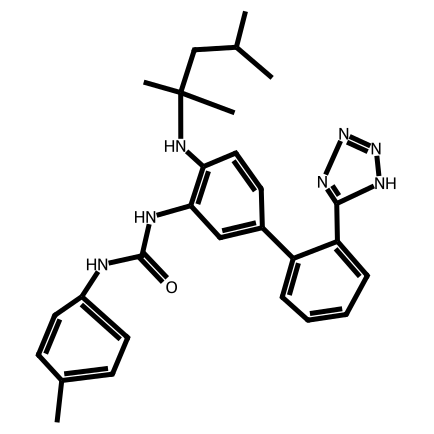 Cc1ccc(NC(=O)Nc2cc(-c3ccccc3-c3nnn[nH]3)ccc2NC(C)(C)CC(C)C)cc1